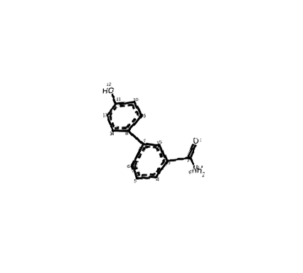 NC(=O)c1cccc(-c2ccc(O)cc2)c1